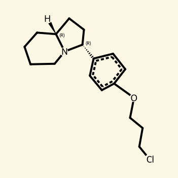 ClCCCOc1ccc([C@H]2CC[C@H]3CCCCN32)cc1